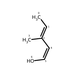 C/C=C(C)/C=C\O